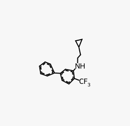 FC(F)(F)c1ccc(-c2ccccc2)cc1NCCC1CC1